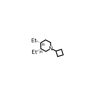 CC[C@@H]1CCN(C2CCC2)C[C@@H]1CC